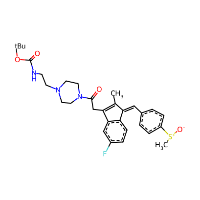 CC1=C(CC(=O)N2CCN(CCNC(=O)OC(C)(C)C)CC2)c2cc(F)ccc2/C1=C\c1ccc([S+](C)[O-])cc1